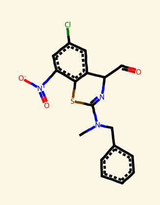 CN(Cc1ccccc1)C1=NC(C=O)c2cc(Cl)cc([N+](=O)[O-])c2S1